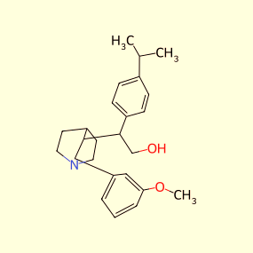 COc1cccc(C2C(C(CO)c3ccc(C(C)C)cc3)C3CCN2CC3)c1